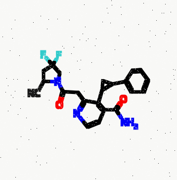 N#CC1CC(F)(F)CN1C(=O)Cc1nccc(C(N)=O)c1C1CC1c1ccccc1